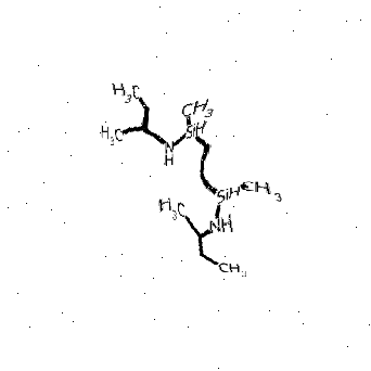 CCC(C)N[SiH](C)CC[SiH](C)NC(C)CC